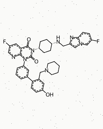 O=c1c2cc(F)cnc2n(-c2cccc(-c3ccc(O)cc3CN3CCCCC3)c2)c(=O)n1[C@H]1CC[C@@H](NCc2cn3cc(F)ccc3n2)CC1